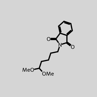 COC(CCCCN1C(=O)c2ccccc2C1=O)OC